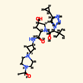 CC(=O)N1CCN(C2CC(NC(=O)C3CC(O)CN3C(=O)[C@@H](n3cc(C4CC4)nn3)C(C)(C)C)C2)CC1